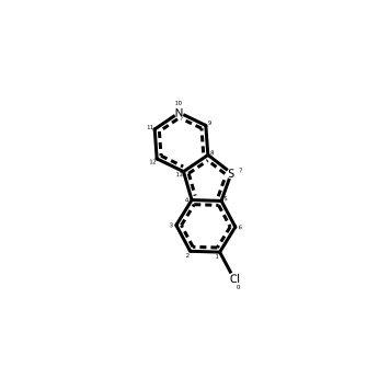 Clc1ccc2c(c1)sc1cnccc12